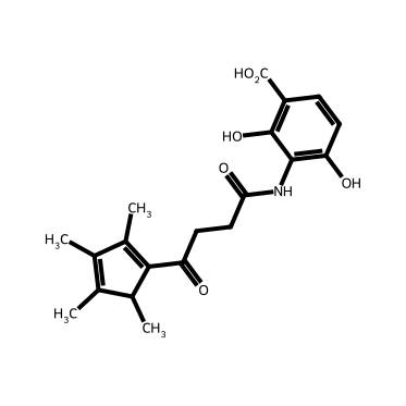 CC1=C(C)C(C)C(C(=O)CCC(=O)Nc2c(O)ccc(C(=O)O)c2O)=C1C